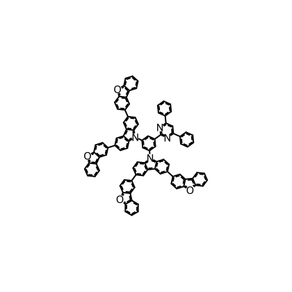 c1ccc(-c2cc(-c3ccccc3)nc(-c3cc(-n4c5ccc(-c6ccc7oc8ccccc8c7c6)cc5c5cc(-c6ccc7oc8ccccc8c7c6)ccc54)cc(-n4c5ccc(-c6ccc7oc8ccccc8c7c6)cc5c5cc(-c6ccc7oc8ccccc8c7c6)ccc54)c3)n2)cc1